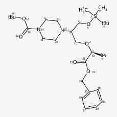 CC(C)[C@H](OCC(CO[Si](C)(C)C(C)(C)C)N1CCN(C(=O)OC(C)(C)C)CC1)C(=O)OCc1ccccc1